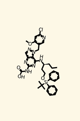 CCC[C@@H](CCO[Si](c1ccccc1)(c1ccccc1)C(C)(C)C)Nc1nc(NC(=O)O)nc2cnn(Cc3cnc(Cl)cc3OC)c12